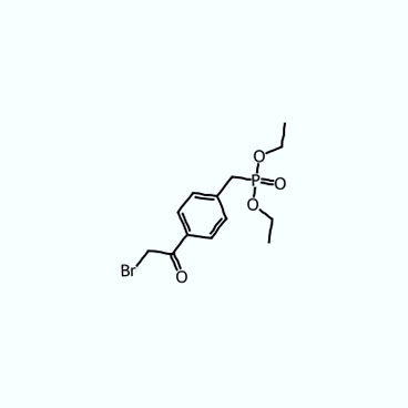 CCOP(=O)(Cc1ccc(C(=O)CBr)cc1)OCC